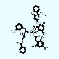 CC(C)c1cc(C(C)C)c(CC(=O)NS(=O)(=O)Oc2c(C(C)C)cccc2C(C)C)c(C(C)C)c1.CC(Cc1cccc(C(F)(F)F)c1)NCCOC(=O)c1ccccc1.CC1(c2ccccc2)OC(C(=O)O)=CC1=O